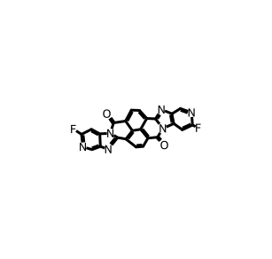 O=c1c2ccc3c4c(ccc(c24)c2nc4cnc(F)cc4n12)c(=O)n1c2cc(F)ncc2nc31